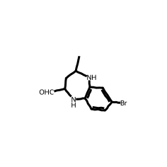 CC1CC(C=O)Nc2ccc(Br)cc2N1